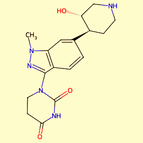 Cn1nc(N2CCC(=O)NC2=O)c2ccc([C@@H]3CCNC[C@H]3O)cc21